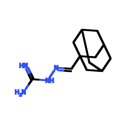 N=C(N)N/N=C/C12CC3CC(CC(C3)C1)C2